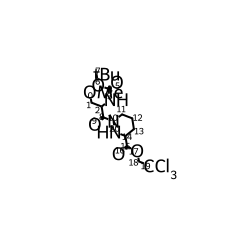 COCC(NC(=O)OC(C)(C)C)C(=O)N1CCCC(C(=O)OCC(Cl)(Cl)Cl)N1